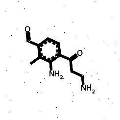 Cc1c(C=O)ccc(C(=O)CCN)c1N